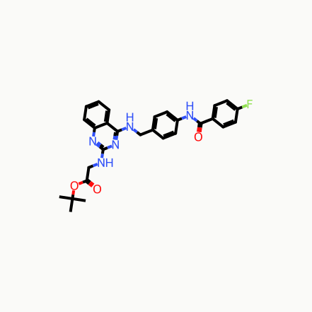 CC(C)(C)OC(=O)CNc1nc(NCc2ccc(NC(=O)c3ccc(F)cc3)cc2)c2ccccc2n1